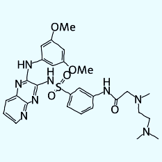 COc1cc(Nc2nc3cccnc3nc2NS(=O)(=O)c2cccc(NC(=O)CN(C)CCN(C)C)c2)cc(OC)c1